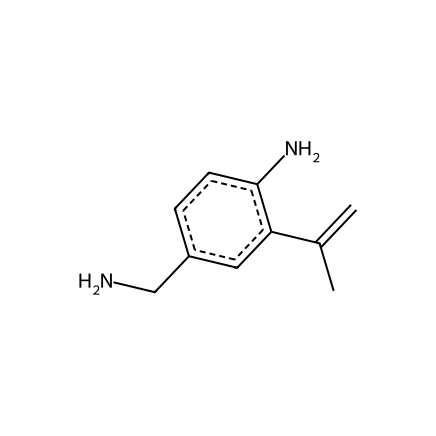 C=C(C)c1cc(CN)ccc1N